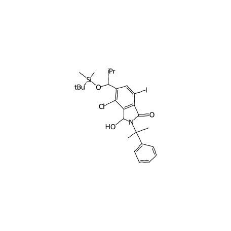 CC(C)C(O[Si](C)(C)C(C)(C)C)c1cc(I)c2c(c1Cl)C(O)N(C(C)(C)c1ccccc1)C2=O